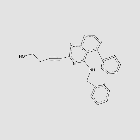 OCCC#Cc1nc(NCc2ccccn2)c2c(-c3ccccc3)cccc2n1